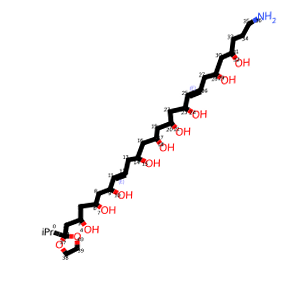 CC(C)C1(CC(O)CC(O)CC(O)/C=C/CC(O)CC(O)CC(O)CC(O)/C=C/CC(O)CC(O)CCCN)OCCO1